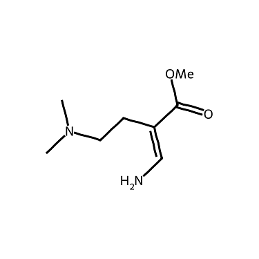 COC(=O)C(=CN)CCN(C)C